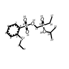 CCSc1ccccc1S(=O)(=O)OCP(=O)(CC)OC(C)C